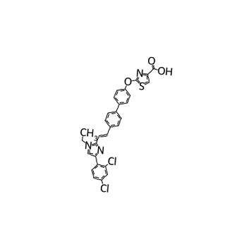 CCn1cc(-c2ccc(Cl)cc2Cl)nc1C=Cc1ccc(-c2ccc(Oc3nc(C(=O)O)cs3)cc2)cc1